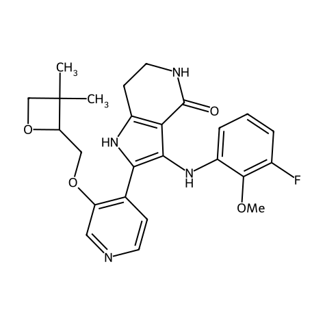 COc1c(F)cccc1Nc1c(-c2ccncc2OCC2OCC2(C)C)[nH]c2c1C(=O)NCC2